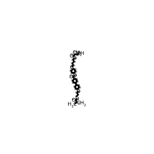 C=C(C)C(=O)OCCCOc1ccc(-c2ccc(C(=O)Oc3ccc(OCCCCOC(=O)C(=C)CO)cc3)cc2)cc1